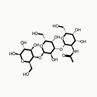 CC(=O)N[C@H]1[C@H](O[C@H]2[C@@H](O)[C@@H](CO)O[C@H](O[C@@H]3[C@H](O)[C@@H](O)[C@H](O)O[C@@H]3CO)[C@@H]2O)O[C@H](CO)[C@H](O)[C@@H]1O